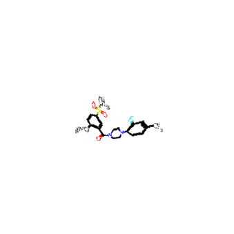 CC(C)COc1ccc(S(C)(=O)=O)cc1C(=O)N1CCN(c2ccc(C(F)(F)F)cc2F)CC1